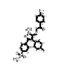 Cn1nc(-c2ccc(S(C)(=O)=O)cc2)c(-c2ccc(F)cc2)c1OCC(=O)c1ccc(F)cc1